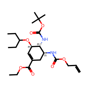 C=CCOC(=O)N[C@H]1CC(C(=O)OCC)=C[C@@H](OC(CC)CC)[C@@H]1NC(=O)OC(C)(C)C